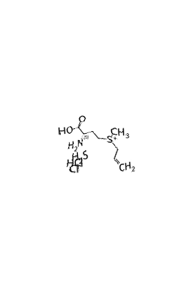 C=CC[S+](C)CC[C@H](N)C(=O)O.Cl.S.[Cl-]